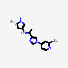 CC[C@H]1CC(NC(C)c2cn(-c3ccnc(C(C)(C)C)c3)cn2)=CN1